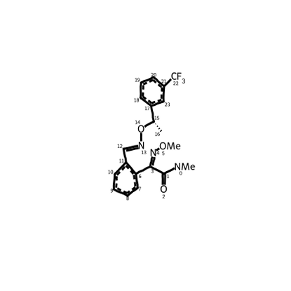 CNC(=O)C(=NOC)c1ccccc1C=NO[C@@H](C)c1cccc(C(F)(F)F)c1